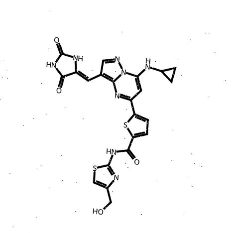 O=C1NC(=O)/C(=C/c2cnn3c(NC4CC4)cc(-c4ccc(C(=O)Nc5nc(CO)cs5)s4)nc23)N1